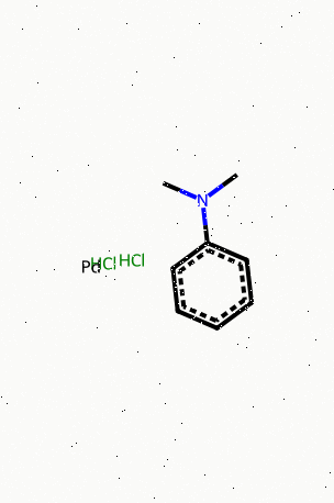 CN(C)c1ccccc1.Cl.Cl.[Pd]